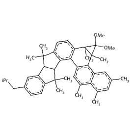 COC1(OC)C2(C)c3ccc4c(c3-c3cc(C)c5c(C)cc(C)cc5c3C12C)C1C(c2cc(CC(C)C)ccc2C1(C)C)C4(C)C